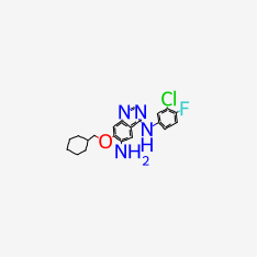 Nc1cc2c(Nc3ccc(F)c(Cl)c3)ncnc2cc1OCC1CCCCC1